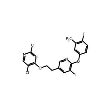 Fc1ccc(Oc2ncc(CCOc3nc(Cl)ncc3Cl)cc2F)cc1C(F)(F)F